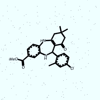 COC(=O)c1ccc2c(c1)NC(c1ccc(Cl)cc1C)C1=C(CC(C)(C)CC1=O)N2